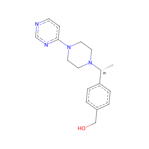 C[C@H](c1ccc(CO)cc1)N1CCN(c2ccncn2)CC1